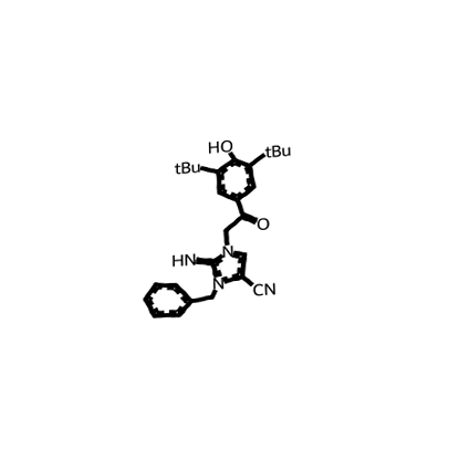 CC(C)(C)c1cc(C(=O)Cn2cc(C#N)n(Cc3ccccc3)c2=N)cc(C(C)(C)C)c1O